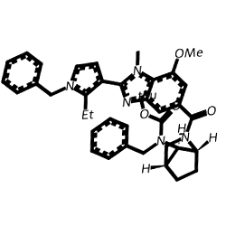 CCc1c(-c2nc3cc(C(=O)N4C[C@H]5CC[C@@H]4[C@@H]5N(Cc4ccccc4)C(=O)OC(C)(C)C)cc(OC)c3n2C)ccn1Cc1ccccc1